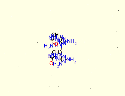 Cn1ncc(C=O)c1/N=N/c1c(N)nc(N)nc1NCCCNc1nc(N)nc(N)c1/N=N/c1c(C(N)=O)cnn1C